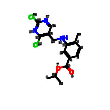 Cc1ccc(C(=O)OC(C)C)cc1NCc1cnc(Cl)nc1Cl